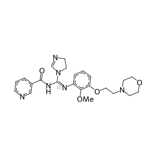 COc1c(/N=C(/NC(=O)c2cccnc2)N2C=NCC2)cccc1OCCN1CCOCC1